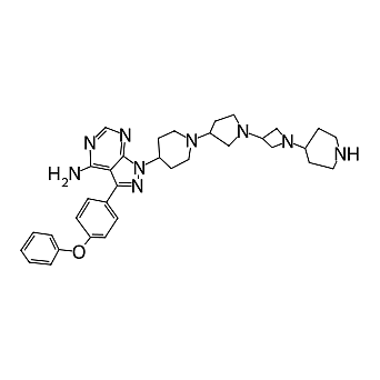 Nc1ncnc2c1c(-c1ccc(Oc3ccccc3)cc1)nn2C1CCN(C2CCN(C3CN(C4CCNCC4)C3)C2)CC1